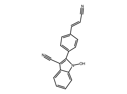 N#CC=Cc1ccc(-c2c(C#N)c3ccccc3n2O)cc1